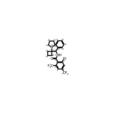 CCc1cc(C(F)(F)F)cc(C(F)(F)F)c1C(=O)NC(c1ccccc1)C1(N2CCCC2)CCC1